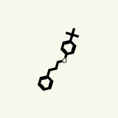 CC(C)(C)c1ccc(OC[CH]Cc2ccccc2)cc1